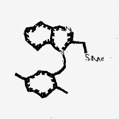 CSCc1nc2ccccc2n1Cc1cc(C)ccc1C